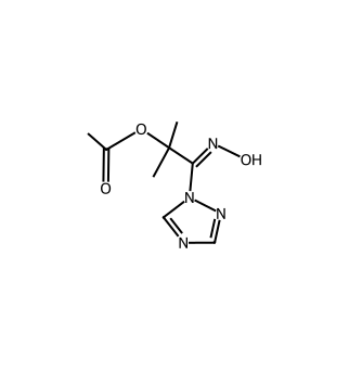 CC(=O)OC(C)(C)/C(=N/O)n1cncn1